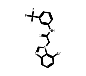 O=C(Cn1cnc2cccc(Br)c21)Nc1cccc(C(F)(F)F)c1